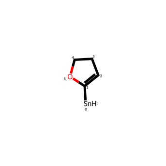 [SnH][C]1=CCCO1